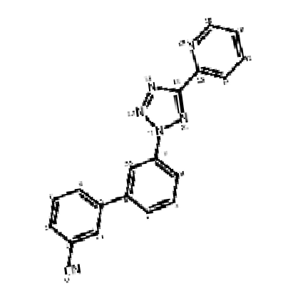 N#Cc1cccc(-c2cccc(-n3nnc(-c4ccccn4)n3)c2)c1